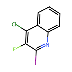 Fc1c(I)nc2ccccc2c1Cl